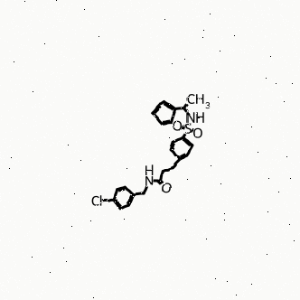 CC(NS(=O)(=O)c1ccc(CCC(=O)NCc2ccc(Cl)cc2)cc1)c1ccccc1